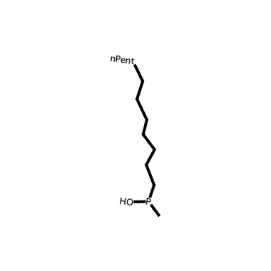 CCCCCCCCCCCCP(C)O